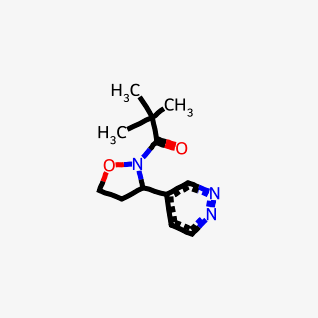 CC(C)(C)C(=O)N1OCCC1c1ccnnc1